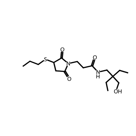 CCCSC1CC(=O)N(CCC(=O)NCC(CC)(CC)CO)C1=O